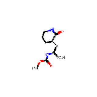 CC(C)(C)OC(=O)NC(C[C@@H]1CCCNC1=O)C(=O)O